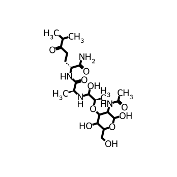 CC(=O)NC1C(O)OC(CO)C(O)C1O[C@H](C)C(O)N[C@@H](C)C(=O)N[C@H](CCC(=O)C(C)C)C(N)=O